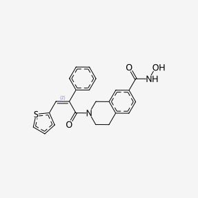 O=C(NO)c1ccc2c(c1)CN(C(=O)/C(=C\c1cccs1)c1ccccc1)CC2